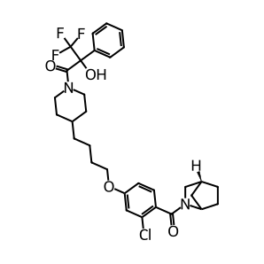 O=C(c1ccc(OCCCCC2CCN(C(=O)C(O)(c3ccccc3)C(F)(F)F)CC2)cc1Cl)N1C[C@@H]2CCC1C2